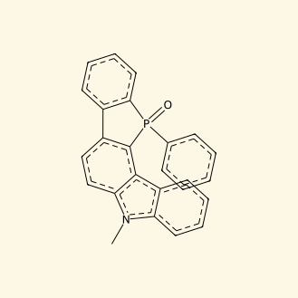 Cn1c2ccccc2c2c3c(ccc21)-c1ccccc1P3(=O)c1ccccc1